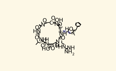 C=C1C(=O)N[C@H](C)C(=O)N[C@@H](CC(C)C)C(=O)N[C@@H](C(=O)O)[C@H](C)C(=O)N[C@@H](CCCNC(=N)N)C(=O)N[C@@H](/C=C/C(C)=C/[C@H](C)[C@@H](O)Cc2ccccc2)[C@H](C)C(=O)N(C)[C@@H](C(=O)O)CCC(=O)N1C